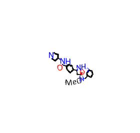 CON(Cc1ccccc1)C(=O)CC(N)c1ccc(C(=O)Nc2ccncc2)cc1